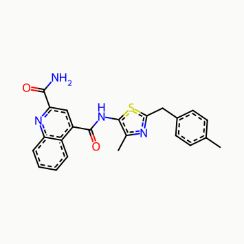 Cc1ccc(Cc2nc(C)c(NC(=O)c3cc(C(N)=O)nc4ccccc34)s2)cc1